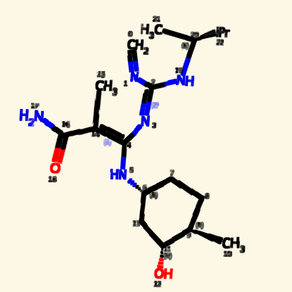 C=N/C(=N\C(N[C@@H]1CC[C@@H](C)[C@H](O)C1)=C(/C)C(N)=O)N[C@@H](C)C(C)C